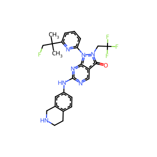 CC(C)(CF)c1cccc(-n2c3nc(Nc4ccc5c(c4)CNCC5)ncc3c(=O)n2CC(F)(F)F)n1